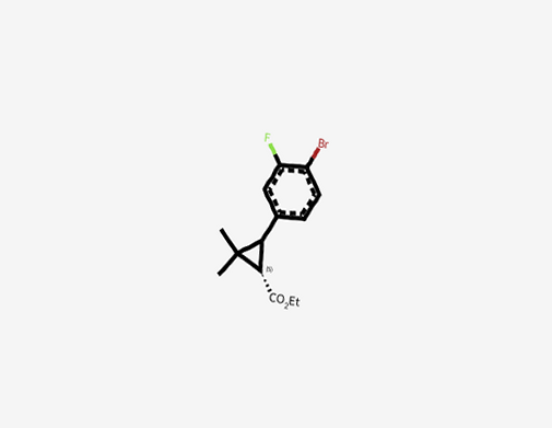 CCOC(=O)[C@H]1C(c2ccc(Br)c(F)c2)C1(C)C